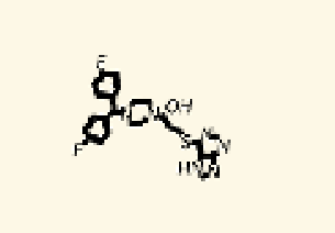 OC(CCSc1ncnc2nc[nH]c12)N1CCN(C(c2ccc(F)cc2)c2ccc(F)cc2)CC1